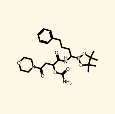 CC1(C)OB(C(CCCc2ccccc2)NC(=O)C(CC(=O)N2CCOCC2)OC(N)=O)OC1(C)C